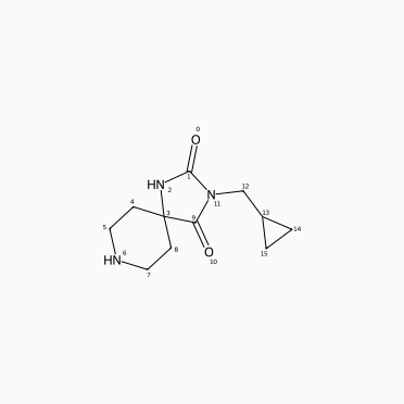 O=C1NC2(CCNCC2)C(=O)N1CC1CC1